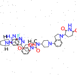 CN(C(=O)N1CCC(Oc2cc(F)cc(N3[C@@H]4CC[C@H]3CN(c3cc(-c5ccccc5O)nnc3N)C4)c2)CC1)C1CCN(c2cccc3c2CCN3[C@@H]2CCC(=O)NC2=O)CC1